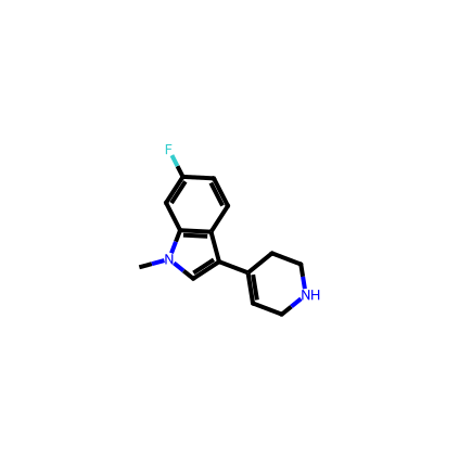 Cn1cc(C2=CCNCC2)c2ccc(F)cc21